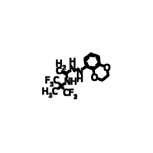 C=C(NNc1cccc2c1OCCO2)NC(C)(C(F)(F)F)C(F)(F)F